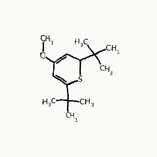 COC1=CC(C(C)(C)C)SC(C(C)(C)C)=C1